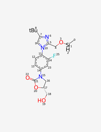 C[SiH](C)OCc1nc(C(C)(C)C)cn1-c1ccc(N2C[C@H](CO)OC2=O)cc1F